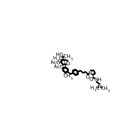 CC(=O)O[C@H]1C[C@]2(C(C)(C)O)CO[C@@](c3ccc(C)c(Cc4ccc(CCCC(=O)N5CCC[C@H]5C(=O)NCCN(C)C)cc4)c3)(O2)[C@@H]1OC(C)=O